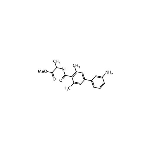 COC(=O)C(C)NC(=O)c1c(C)cc(-c2cccc(N)c2)cc1C